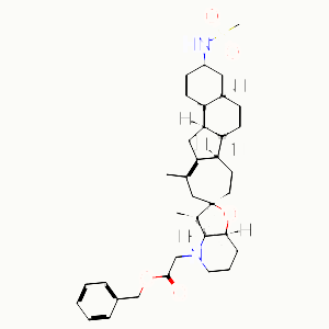 CC1=C2C[C@H]3[C@@H](CC[C@@H]4C[C@H](NS(C)(=O)=O)CC[C@@]43C)[C@@H]2CC[C@@]2(C1)O[C@@H]1C[C@H](C)CN(CC(=O)OCc3ccccc3)[C@H]1[C@H]2C